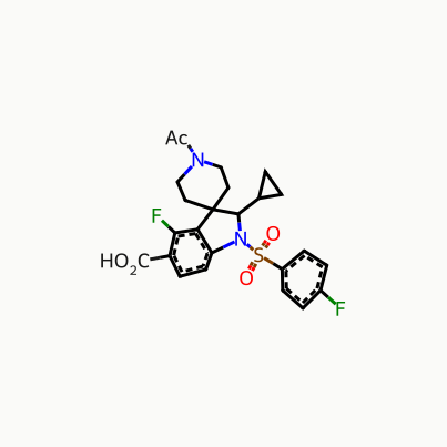 CC(=O)N1CCC2(CC1)c1c(ccc(C(=O)O)c1F)N(S(=O)(=O)c1ccc(F)cc1)C2C1CC1